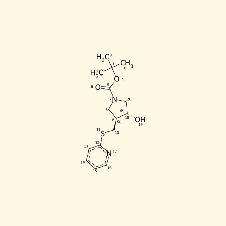 CC(C)(C)OC(=O)N1C[C@H](CSc2ccccn2)[C@@H](O)C1